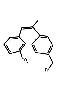 CC(=Cc1cccc(C(=O)O)c1)c1ccc(CC(C)C)cc1